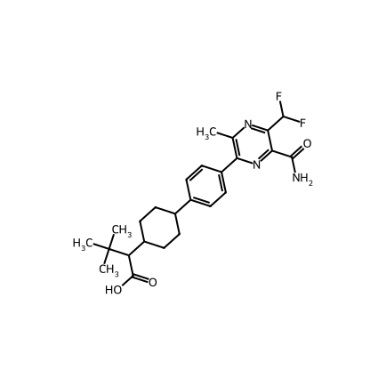 Cc1nc(C(F)F)c(C(N)=O)nc1-c1ccc(C2CCC(C(C(=O)O)C(C)(C)C)CC2)cc1